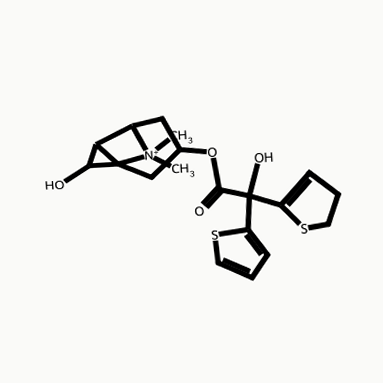 C[N+]1(C)C2CC(OC(=O)C(O)(C3=CCCS3)c3cccs3)CC13C(O)C23